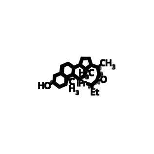 CC[C@@H](C(C)C)[C@H]1O[C@@H]1[C@@H](C)C1CCC2C3CC=C4C[C@@H](O)CC[C@]4(C)C3CC[C@@]21C